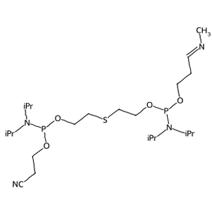 C/N=C/CCOP(OCCSCCOP(OCCC#N)N(C(C)C)C(C)C)N(C(C)C)C(C)C